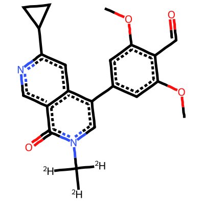 [2H]C([2H])([2H])n1cc(-c2cc(OC)c(C=O)c(OC)c2)c2cc(C3CC3)ncc2c1=O